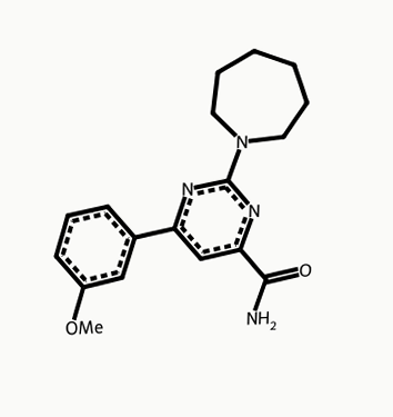 COc1cccc(-c2cc(C(N)=O)nc(N3CCCCCC3)n2)c1